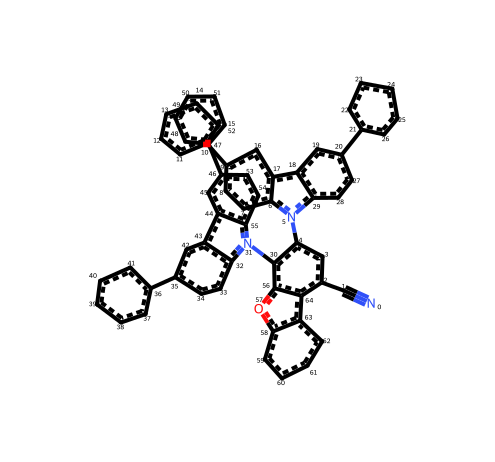 N#Cc1cc(-n2c3ccc(-c4ccccc4)cc3c3cc(-c4ccccc4)ccc32)c(-n2c3ccc(-c4ccccc4)cc3c3cc(-c4ccccc4)ccc32)c2oc3ccccc3c12